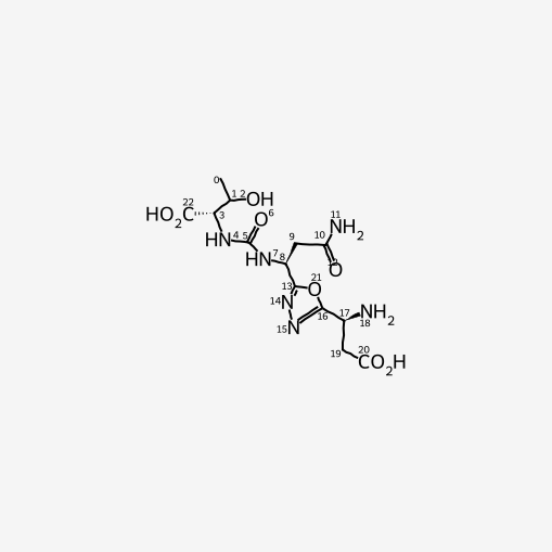 CC(O)[C@H](NC(=O)N[C@@H](CC(N)=O)c1nnc([C@@H](N)CC(=O)O)o1)C(=O)O